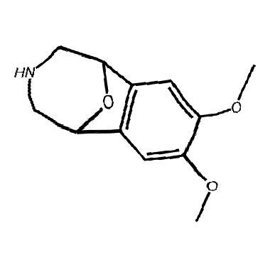 COc1cc2c(cc1OC)C1CNCC2O1